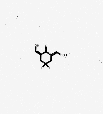 O=C(O)C=C1CC(F)(F)CC(=CO)C1=O